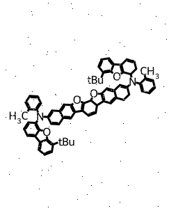 Cc1ccccc1N(c1ccc2cc3c4c(oc3cc2c1)C1Oc2cc3c(cc2C1C=C4)CCC(N(c1ccccc1C)C1CC=Cc2c1oc1c(C(C)(C)C)cccc21)=C3)c1cccc2c1oc1c(C(C)(C)C)cccc12